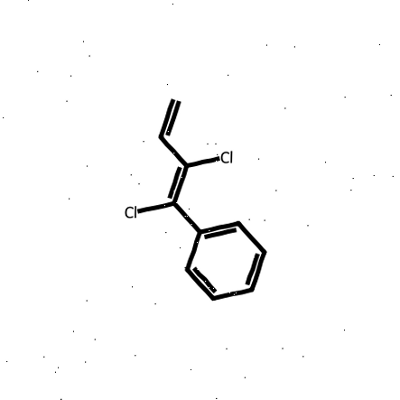 C=CC(Cl)=C(Cl)c1ccccc1